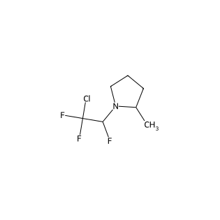 CC1CCCN1C(F)C(F)(F)Cl